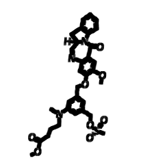 COC(=O)CCCN(C)c1cc(COc2cc3c(cc2OC)C(=O)N2c4ccccc4C[C@H]2C=N3)cc(COS(C)(=O)=O)c1